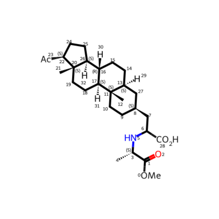 COC(=O)[C@H](C)NC(C[C@H]1CC[C@@]2(C)[C@@H](CC[C@@H]3[C@@H]2CC[C@]2(C)[C@@H](C(C)=O)CC[C@@H]32)C1)C(=O)O